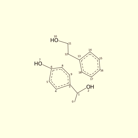 CC(O)c1ccc(O)cc1.OCCc1ccccc1